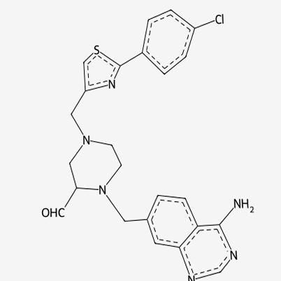 Nc1ncnc2cc(CN3CCN(Cc4csc(-c5ccc(Cl)cc5)n4)CC3C=O)ccc12